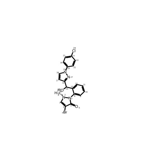 Cn1cc(Br)c(=O)n1-c1ccccc1C(O)c1ccn(-c2ccc(Cl)cc2)n1